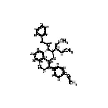 CCN(CC)C(COCc1ccccc1)CN1c2ccccc2OCC1c1ccc(OC)cc1